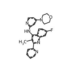 Cc1c(-c2ccccn2)nc2cc(F)ccc2c1Nc1cc(N2CCOCC2)ccn1